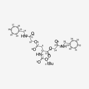 CC(C)(C)OC(=O)NC(CC(=O)OCC(=O)NCc1ccccc1)C(=O)OCC(=O)NCc1ccccc1